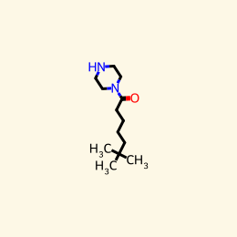 CC(C)(C)CCCCC(=O)N1CCNCC1